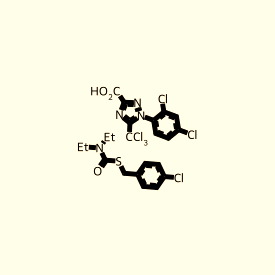 CCN(CC)C(=O)SCc1ccc(Cl)cc1.O=C(O)c1nc(C(Cl)(Cl)Cl)n(-c2ccc(Cl)cc2Cl)n1